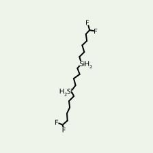 FC(F)CCCCC[SiH2]CCCC[SiH2]CCCCCC(F)F